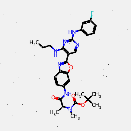 CCCNc1nc(Nc2cccc(F)c2)ncc1-c1nc2ccc(NC(=O)[C@H](C)N(C)C(=O)OC(C)(C)C)cc2o1